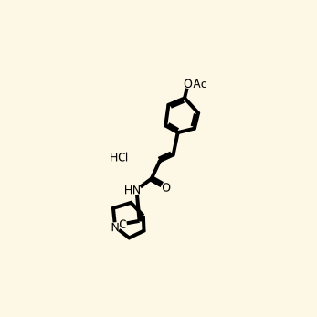 CC(=O)Oc1ccc(C=CC(=O)NC2CN3CCC2CC3)cc1.Cl